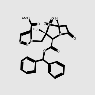 COC(=O)c1cnnn1C[C@@]1(C)[C@H](C(=O)OC(c2ccccc2)c2ccccc2)N2C(=O)C[C@H]2S1(=O)=O